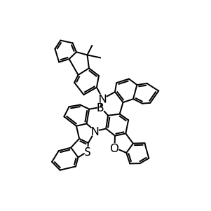 CC1(C)c2ccccc2-c2ccc(N3B4c5c(cc6c(oc7ccccc76)c5-n5c6sc7ccccc7c6c6cccc4c65)-c4c3ccc3ccccc43)cc21